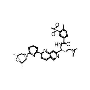 Cc1ccc(C(=O)N[C@H](CCN(C)C)c2cc3nc(-c4cccc(N5C[C@@H](C)O[C@@H](C)C5)n4)ccc3cn2)cc1S(C)(=O)=O